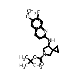 COc1cc2ccc(NC3CN(C(=O)OC(C)(C)C)CC34CC4)nc2cc1F